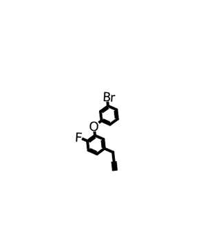 C#CCc1ccc(F)c(Oc2cccc(Br)c2)c1